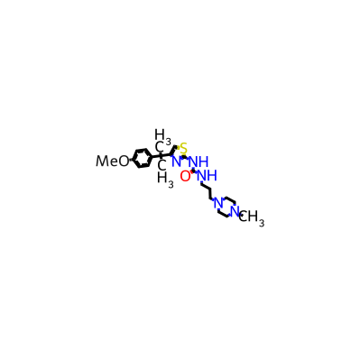 COc1ccc(C(C)(C)c2csc(NC(=O)NCCCN3CCN(C)CC3)n2)cc1